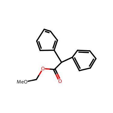 COCOC(=O)C(c1ccccc1)c1ccccc1